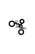 O=C(NCc1cnc(NC2CCCCCCCCC2)nc1C1CCCCCCC1)C1CCCCCCCCCC1